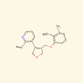 COc1ncccc1C1=C(COc2cccc(C)c2C=O)COC1